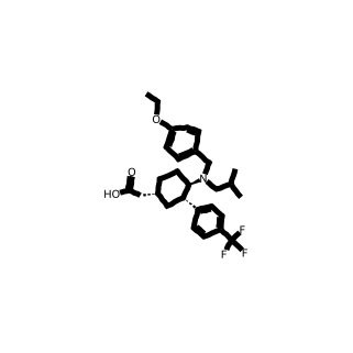 CCOc1ccc(CN(CC(C)C)[C@@H]2CC[C@@H](CC(=O)O)C[C@H]2c2ccc(C(F)(F)F)cc2)cc1